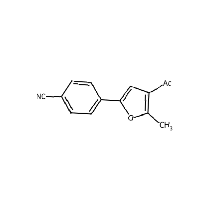 CC(=O)c1cc(-c2ccc(C#N)cc2)oc1C